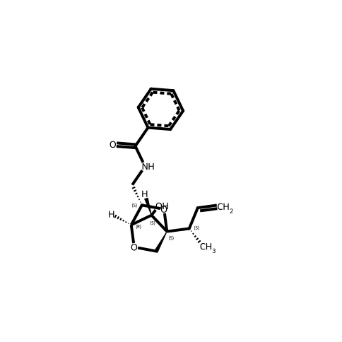 C=C[C@H](C)[C@@]12CO[C@@H]([C@H](CNC(=O)c3ccccc3)O1)[C@@H]2O